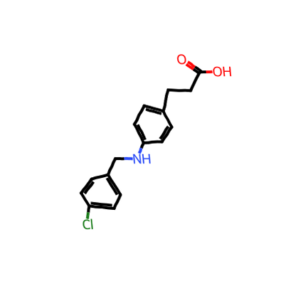 O=C(O)CCc1ccc(NCc2ccc(Cl)cc2)cc1